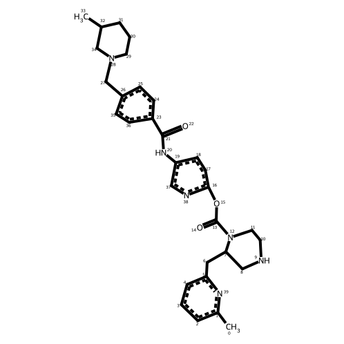 Cc1cccc(CC2CNCCN2C(=O)Oc2ccc(NC(=O)c3ccc(CN4CCCC(C)C4)cc3)cn2)n1